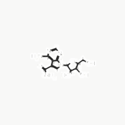 NC(=O)c1cn(C2OC(CO)C(O)C2O)c2ncnc(N)c12